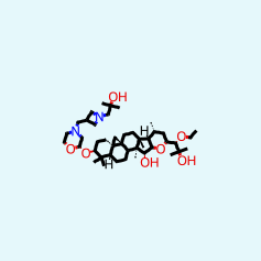 CCO[C@@H](C1C[C@@H](C)[C@H]2C(O1)[C@H](O)[C@@]1(C)C3CC[C@H]4C(C)(C)[C@@H](O[C@H]5CN(CC6CN(CC(C)(C)O)C6)CCO5)CC[C@@]45C[C@@]35CC[C@]21C)C(C)(C)O